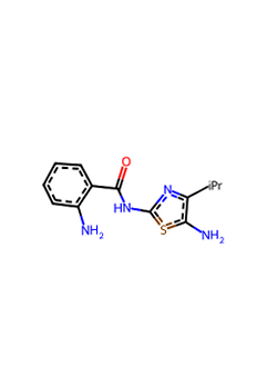 CC(C)c1nc(NC(=O)c2ccccc2N)sc1N